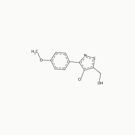 COc1ccc(-c2nsc(CO)c2Cl)cc1